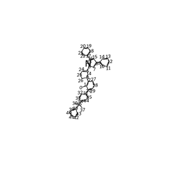 Cc1c(C2=CC(c3cc(-c4ccccc4)cc(-c4ccccc4)n3)=CCC2)cccc1-c1ccc(C(C)(C)c2ccccc2)cc1